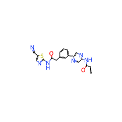 C=CC(=O)Nc1cnc(-c2cccc(CC(=O)Nc3ncc(C#N)s3)c2)cn1